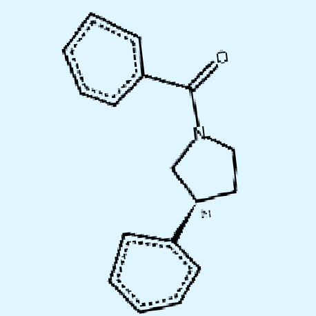 O=C(c1ccccc1)N1CC[C@@H](c2ccccc2)C1